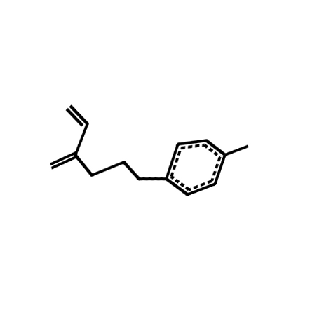 C=CC(=C)CCCc1ccc(C)cc1